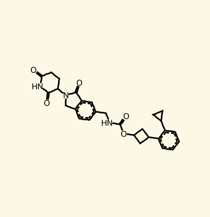 O=C1CCC(N2Cc3ccc(CNC(=O)OC4CC(c5ccccc5C5CC5)C4)cc3C2=O)C(=O)N1